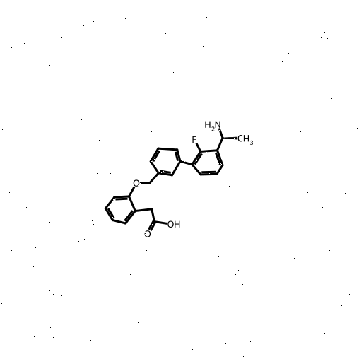 C[C@H](N)c1cccc(-c2cccc(COc3ccccc3CC(=O)O)c2)c1F